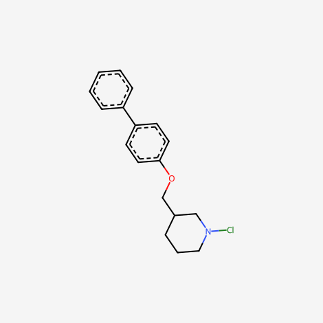 ClN1CCCC(COc2ccc(-c3ccccc3)cc2)C1